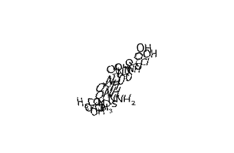 CC(C)(O/N=C(\C(=O)N[C@@H]1C(=O)N2C[C@@](C(=O)O)(N3CCN(NC(=O)C(=O)c4ccc(O)c(O)c4Cl)C(=O)C3=O)S[C@H]12)c1nc(N)sc1Br)C(=O)O